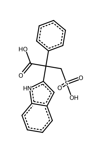 O=C(O)C(CS(=O)(=O)O)(c1ccccc1)c1cc2ccccc2[nH]1